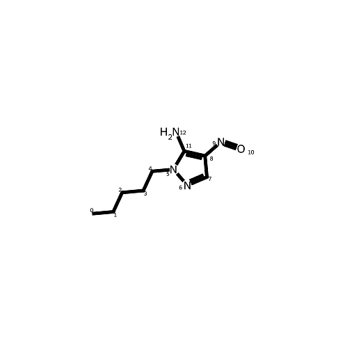 CCCCCn1ncc(N=O)c1N